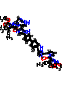 COC(=O)N[C@H](C(=O)N1CCC[C@H]1c1ncc(-c2ccc(-c3ccc(-c4cnc([C@@H]5CNCCN5C(=O)[C@@H](NC(=O)OC)C(C)C)[nH]4)cc3)cc2)[nH]1)C(C)C